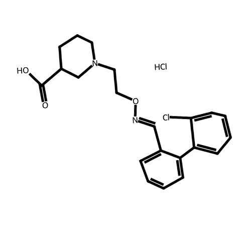 Cl.O=C(O)C1CCCN(CCON=Cc2ccccc2-c2ccccc2Cl)C1